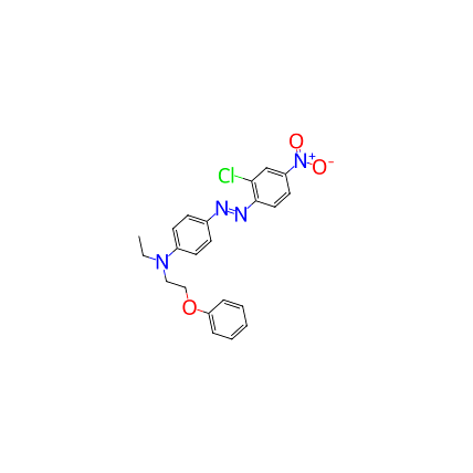 CCN(CCOc1ccccc1)c1ccc(N=Nc2ccc([N+](=O)[O-])cc2Cl)cc1